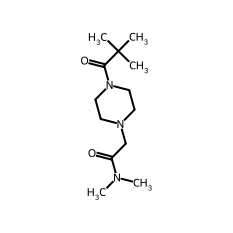 CN(C)C(=O)CN1CCN(C(=O)C(C)(C)C)CC1